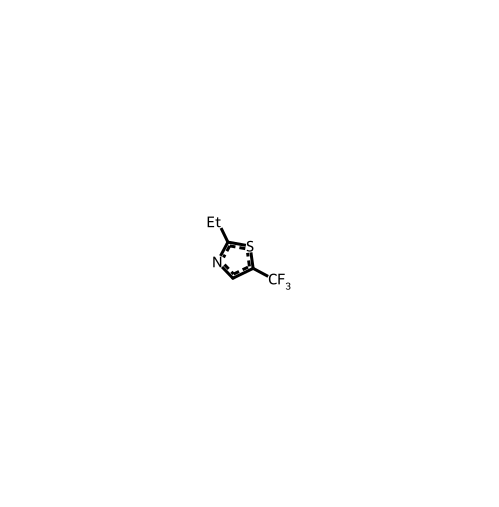 CCc1ncc(C(F)(F)F)s1